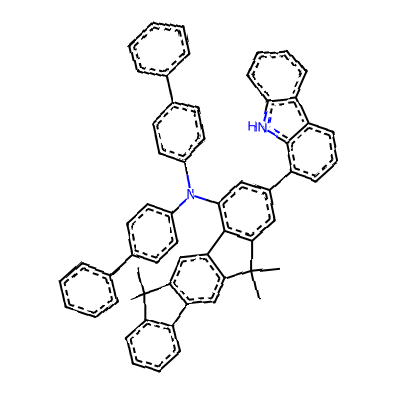 CC1(C)c2ccccc2-c2cc3c(cc21)-c1c(N(c2ccc(-c4ccccc4)cc2)c2ccc(-c4ccccc4)cc2)cc(-c2cccc4c2[nH]c2ccccc24)cc1C3(C)C